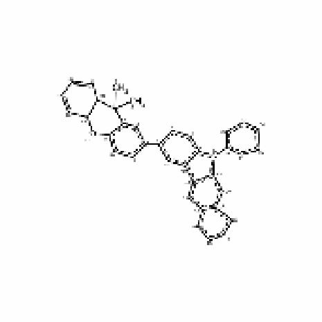 CC1(C)c2cc(-c3ccc4c(c3)c3cc5ccccc5cc3n4-c3ccccc3)ccc2OC2C=CC=CC21